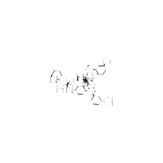 COc1ccc(CNS(=O)(=O)c2cc(NC(=O)Cc3ccc(C)cn3)ccc2Oc2cccc(Cl)c2)c(OC)c1